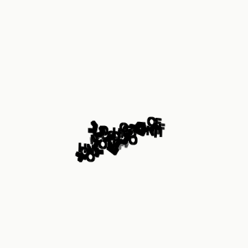 CCC(C)[C@@H]([C@@H](CC(=O)N1CCC[C@H]1[C@H](OC)[C@@H](C)C(=O)NS(=O)(=O)Cc1ccc(NC(=O)C(F)(F)F)cc1)OC)N(C)C(O)[C@@H](NC(=O)OC(C)(C)C)C(C)C